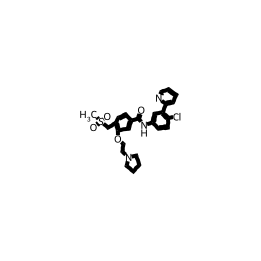 CS(=O)(=O)Cc1ccc(C(=O)Nc2ccc(Cl)c(-c3ccccn3)c2)cc1OCCN1CCCC1